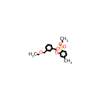 CCOCc1cccc(COc2cc(C)ccc2S(=O)(=O)OCC)c1